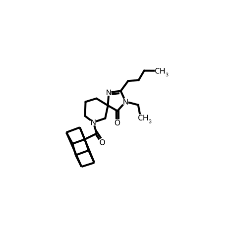 CCCCC1=NC2(CCCN(C(=O)C34C5C6C7C5C3C7C64)C2)C(=O)N1CC